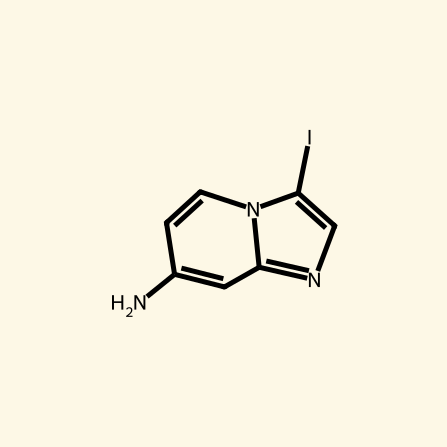 Nc1ccn2c(I)cnc2c1